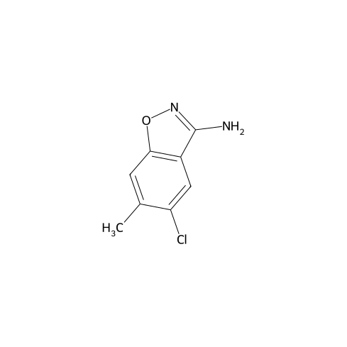 Cc1cc2onc(N)c2cc1Cl